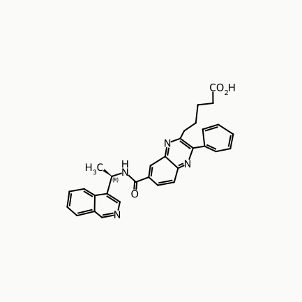 C[C@@H](NC(=O)c1ccc2nc(-c3ccccc3)c(CCCCC(=O)O)nc2c1)c1cncc2ccccc12